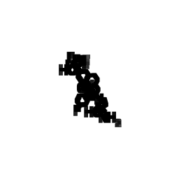 NCC1(O)CCN(C(=O)CC2CCc3cc(C(O)(C(F)(F)F)C(F)(F)F)ccc3N2S(=O)(=O)c2ccc(F)cc2)C1